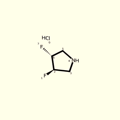 Cl.F[C@@H]1CNC[C@H]1F